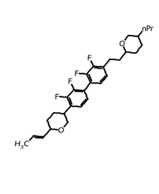 C/C=C/C1CCC(c2ccc(-c3ccc(CCC4CCC(CCC)CO4)c(F)c3F)c(F)c2F)CO1